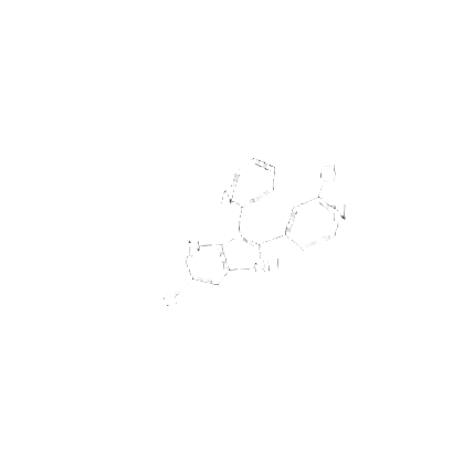 Clc1cnc2c(-c3ccccn3)c(-c3ccnc(Cl)c3)[nH]c2c1